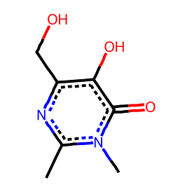 Cc1nc(CO)c(O)c(=O)n1C